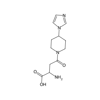 NC(CC(=O)N1CCC(n2ccnc2)CC1)C(=O)O